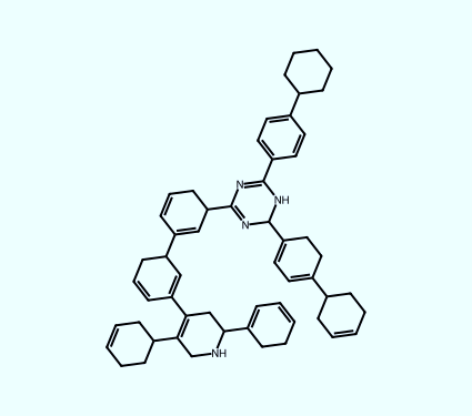 C1=CCCC(C2CC(C3=CC(C4=CC(C5=NC(C6=CC=C(C7CC=CCC7)CC6)NC(c6ccc(C7CCCCC7)cc6)=N5)CC=C4)CC=C3)=C(C3CC=CCC3)CN2)=C1